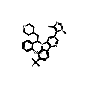 COc1ccccc1C(CC1CCOCC1)n1c2cc(C(C)(C)O)ccc2c2ncc(-c3c(C)nnn3C)cc21